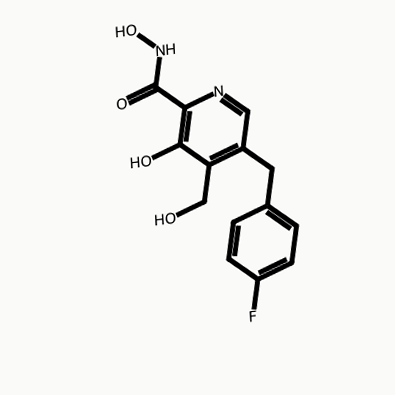 O=C(NO)c1ncc(Cc2ccc(F)cc2)c(CO)c1O